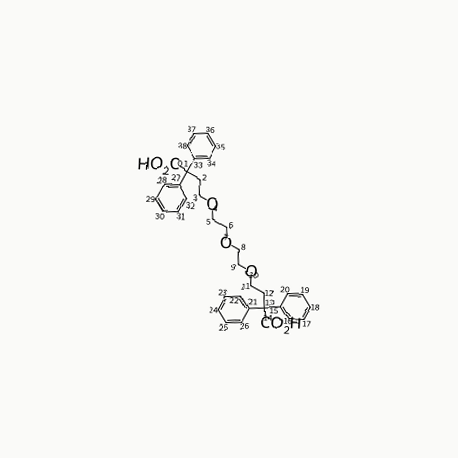 O=C(O)C(CCOCCOCCOCCC(C(=O)O)(c1ccccc1)c1ccccc1)(c1ccccc1)c1ccccc1